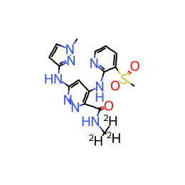 [2H]C([2H])([2H])NC(=O)c1nnc(Nc2ccn(C)n2)cc1Nc1ncccc1S(C)(=O)=O